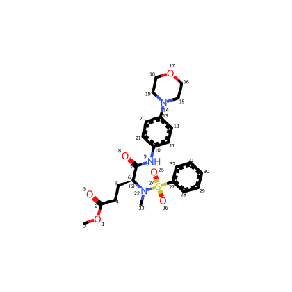 COC(=O)CC[C@@H](C(=O)Nc1ccc(N2CCOCC2)cc1)N(C)S(=O)(=O)c1ccccc1